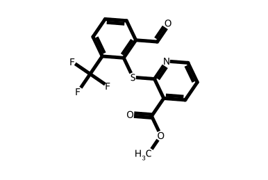 COC(=O)c1cccnc1Sc1c(C=O)cccc1C(F)(F)F